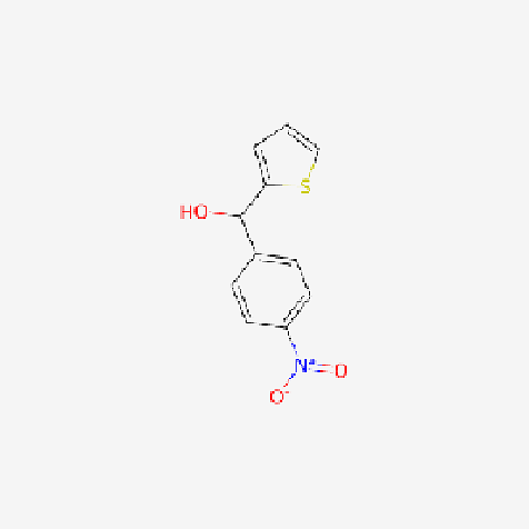 O=[N+]([O-])c1ccc(C(O)c2cccs2)cc1